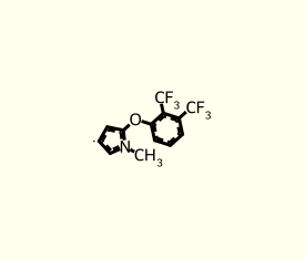 Cn1c[c]cc1Oc1cccc(C(F)(F)F)c1C(F)(F)F